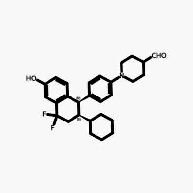 O=CC1CCN(c2ccc([C@@H]3c4ccc(O)cc4C(F)(F)C[C@@H]3C3CCCCC3)cc2)CC1